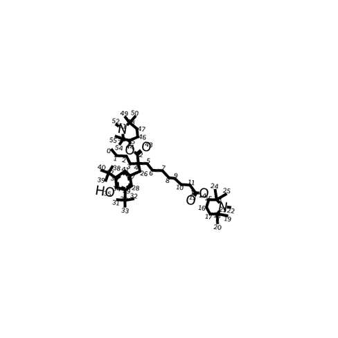 CCCCC(CCCCCCCC(=O)OC1CCC(C)(C)N(C)C1(C)C)(Cc1cc(C(C)(C)C)c(O)c(C(C)(C)C)c1)C(=O)OC1CCC(C)(C)N(C)C1(C)C